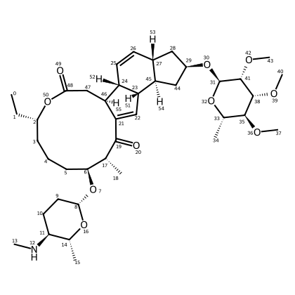 CC[C@H]1CCC[C@H](O[C@H]2CC[C@H](NC)[C@@H](C)O2)[C@@H](C)C(=O)C2=C[C@@H]3[C@@H](C=C[C@@H]4C[C@@H](O[C@@H]5O[C@@H](C)[C@H](OC)[C@@H](OC)[C@H]5OC)C[C@@H]34)[C@@H]2CC(=O)O1